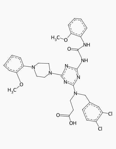 COc1ccccc1NC(=O)Nc1nc(N2CCN(c3ccccc3OC)CC2)nc(N(CCC(=O)O)Cc2ccc(Cl)c(Cl)c2)n1